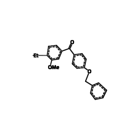 C[CH]c1ccc(C(=O)c2ccc(OCc3ccccc3)cc2)cc1OC